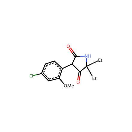 CCC1(CC)NC(=O)C(c2ccc(Cl)cc2OC)C1=O